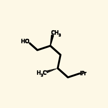 CC(C)C[C@H](C)C[C@H](C)CO